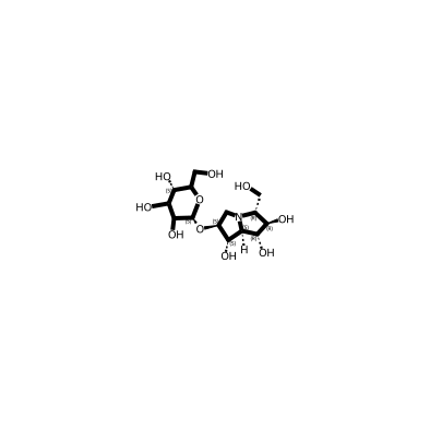 OCC1O[C@H](O[C@H]2CN3[C@@H]([C@@H](O)[C@H](O)[C@H]3CO)[C@@H]2O)C(O)C(O)[C@@H]1O